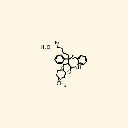 CN1CCN(CC2C(=O)Nc3ccccc3SC2(CCCCBr)c2ccccc2)CC1.O